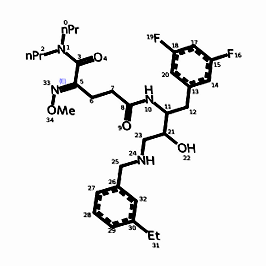 CCCN(CCC)C(=O)/C(CCC(=O)NC(Cc1cc(F)cc(F)c1)C(O)CNCc1cccc(CC)c1)=N/OC